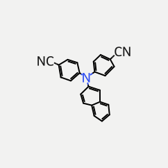 N#Cc1ccc(N(c2ccc(C#N)cc2)c2ccc3ccccc3c2)cc1